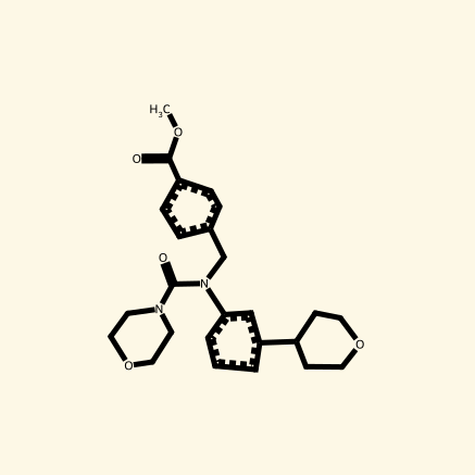 COC(=O)c1ccc(CN(C(=O)N2CCOCC2)c2cccc(C3CCOCC3)c2)cc1